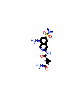 CN(C)S(=O)(=O)c1cc(N)c2cnc(NC(=O)[C@H]3C[C@@H]3C(N)=O)cc2c1